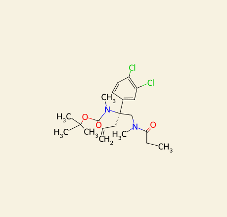 C=CC[C@@](CN(C)C(=O)CC)(c1ccc(Cl)c(Cl)c1)N(C)C(=O)OC(C)(C)C